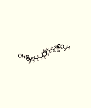 CC(C)(CCCCCc1ccc(CCCCCC(C)(C)C(=O)O)cc1)OC=O